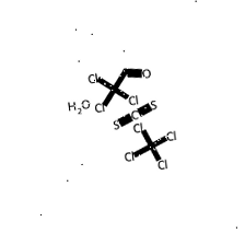 ClC(Cl)(Cl)Cl.O.O=CC(Cl)(Cl)Cl.S=C=S